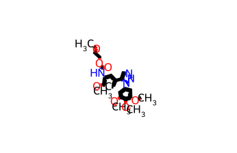 COCCOC(=O)Nc1cc(-c2cnnn2-c2cc(OC)c(OC)c(OC)c2)ccc1OC